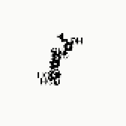 COC1C(O)C(O)[C@H](Oc2ccc3c(c2C)OC(O)C(NC(=O)c2ccc(O)c(CC=C(C)C)c2)=C3)OC1(C)C